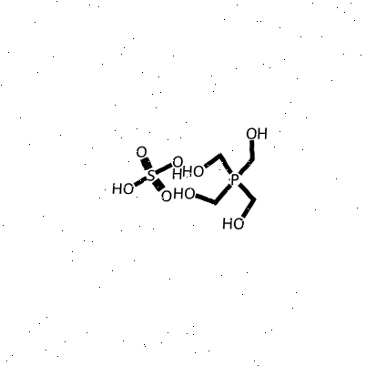 O=S(=O)(O)O.OC[P](CO)(CO)CO